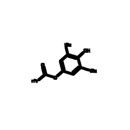 CCCC(=O)Oc1cc(C(C)(C)C)c(O)c(C(C)(C)C)c1